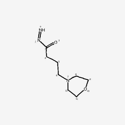 N=NC(=O)CCCN1CCOCC1